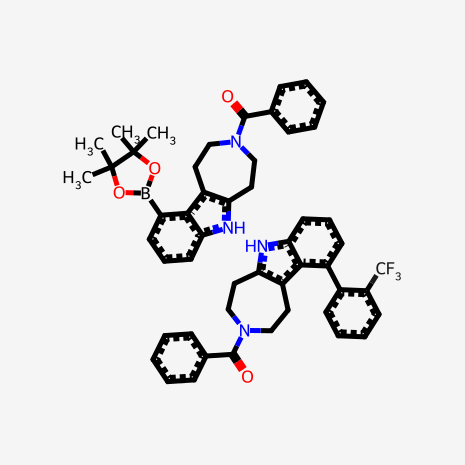 CC1(C)OB(c2cccc3[nH]c4c(c23)CCN(C(=O)c2ccccc2)CC4)OC1(C)C.O=C(c1ccccc1)N1CCc2[nH]c3cccc(-c4ccccc4C(F)(F)F)c3c2CC1